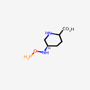 O=C(O)C1CC[C@@H](NOP)CN1